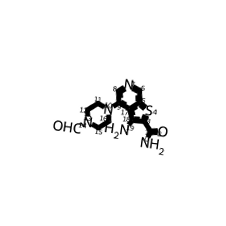 NC(=O)c1sc2cncc(N3CCN(C=O)CC3)c2c1N